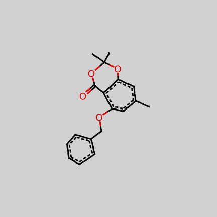 Cc1cc(OCc2ccccc2)c2c(c1)OC(C)(C)OC2=O